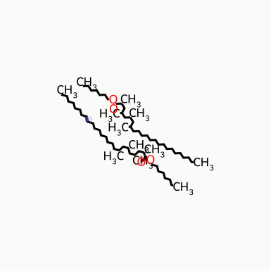 CCCCCCCC/C=C/CCCCCCCCC(C)CC(C)CC(C)CC(C)C(=O)OCCCCCCCC.CCCCCCCCCCCCCCCCC(C)CC(C)CC(C)CC(C)C(=O)OCCCCCCCC